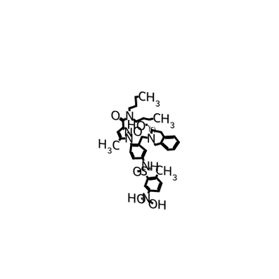 CCCCN(CCCC)C(=O)c1cc(C)n(-c2ccc(N[S+]([O-])c3cc(N(O)O)ccc3C)cc2C(=O)N2Cc3ccccc3C[C@H]2CO)n1